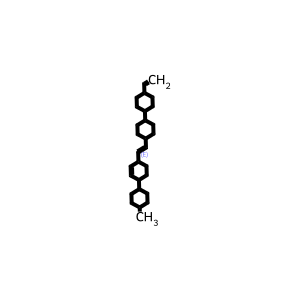 C=CC1CCC(C2CCC(/C=C/C3C=CC(C4CCC(C)CC4)CC3)CC2)CC1